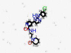 O=C(NCCCN1CCCCCC1=O)c1cc(-c2ccnc(Nc3cccc(Cl)c3)n2)ccn1